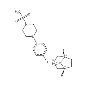 CN1[C@@H]2CC[C@H]1C[C@@H](Oc1ccc(N3CCN(S(C)(=O)=O)CC3)cc1)C2